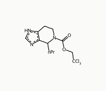 CCCC1c2nc[nH]c2CCN1C(=O)OCC(Cl)(Cl)Cl